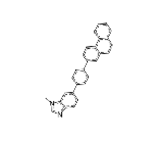 Cn1cnc2ccc(-c3ccc(-c4ccc5c(ccc6ccccc65)c4)cc3)cc21